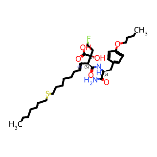 CCCCCCCSCCCCCC/C=C/[C@H](C(=O)N[C@@H](Cc1ccc(OCCCC)cc1)C(N)=O)[C@@](O)(CCF)C(=O)O